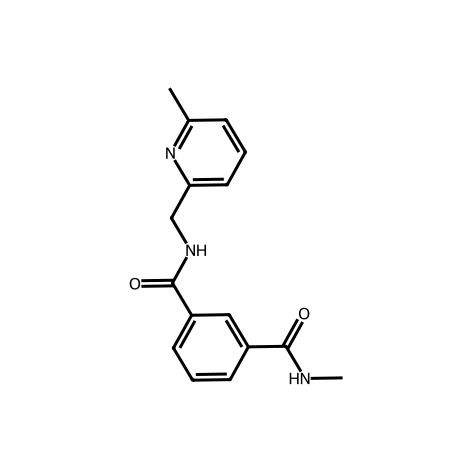 CNC(=O)c1cccc(C(=O)NCc2cccc(C)n2)c1